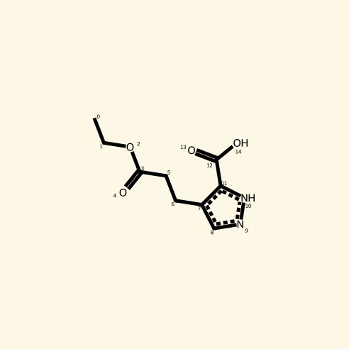 CCOC(=O)CCc1cn[nH]c1C(=O)O